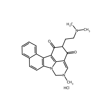 CN(C)CCC1C(=O)C2=CN(C)Cn3c2c(c2c4ccccc4ccc23)C1=O.Cl